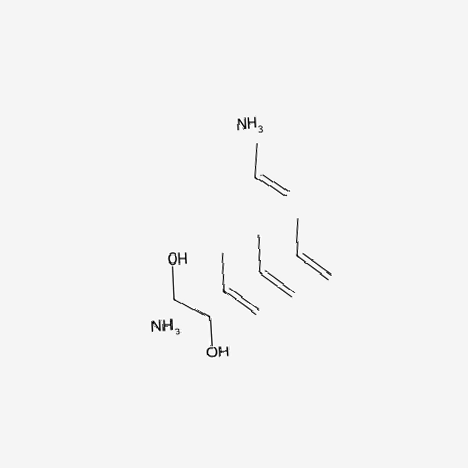 C=CC.C=CC.C=CC.C=CC.N.N.OCCO